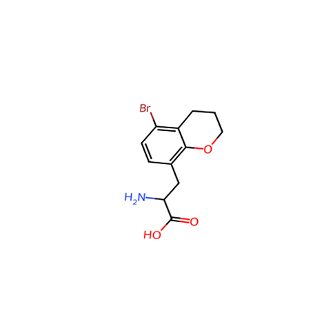 NC(Cc1ccc(Br)c2c1OCCC2)C(=O)O